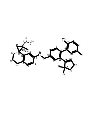 Cc1ccc(F)c(-c2ccc(COc3ccc4c(c3)[C@@]3(CCC4)C[C@]3(C)C(=O)O)cc2C2=CCCC2(C)C)c1